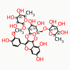 COc1cc(-c2oc3cc(O)cc(O)c3c(=O)c2O[C@@H]2O[C@H](CO[C@@H]3O[C@@H](C)[C@H](O)[C@@H](O)[C@H]3O)[C@@H](O)[C@H](O)[C@H]2O[C@@H]2O[C@@H](C)[C@H](O)[C@@H](O)[C@H]2O)ccc1O